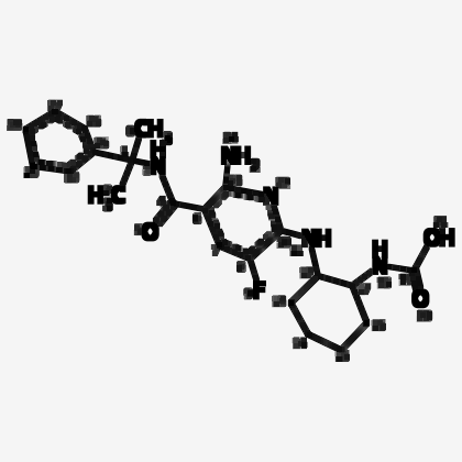 CC(C)(NC(=O)c1cc(F)c(NC2CCCCC2NC(=O)O)nc1N)c1ccccc1